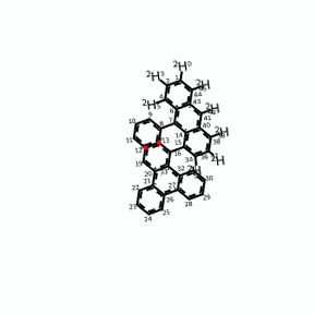 [2H]c1c([2H])c([2H])c2c(-c3ccccc3)c3c(-c4cccc5c6ccccc6c6ccccc6c45)c([2H])c([2H])c([2H])c3c([2H])c2c1[2H]